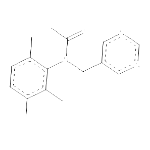 CC(=O)N(Cc1cncnc1)c1c(C)ccc(Cl)c1C